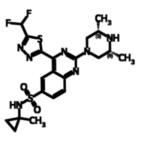 C[C@@H]1CN(c2nc(-c3nnc(C(F)F)s3)c3cc(S(=O)(=O)NC4(C)CC4)ccc3n2)C[C@H](C)N1